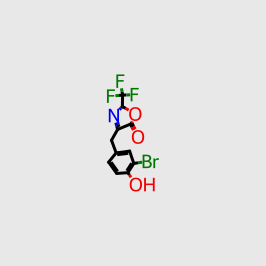 O=C1OC(C(F)(F)F)N=C1Cc1ccc(O)c(Br)c1